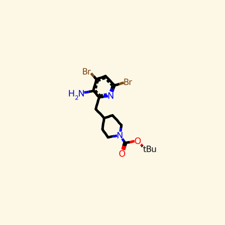 CC(C)(C)OC(=O)N1CCC(Cc2nc(Br)cc(Br)c2N)CC1